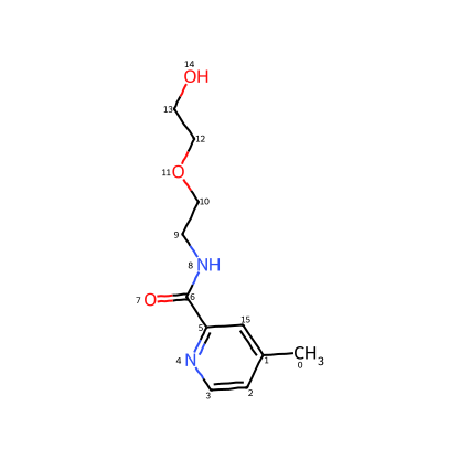 Cc1ccnc(C(=O)NCCOCCO)c1